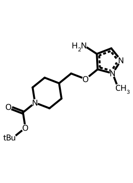 Cn1ncc(N)c1OCC1CCN(C(=O)OC(C)(C)C)CC1